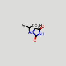 CC(=O)C(C(C)=O)C(=O)O.O=C1CNC(=O)N1